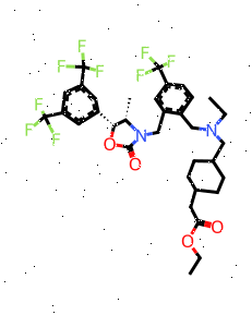 CCOC(=O)CC1CCC(CN(CC)Cc2ccc(C(F)(F)F)cc2CN2C(=O)O[C@H](c3cc(C(F)(F)F)cc(C(F)(F)F)c3)[C@@H]2C)CC1